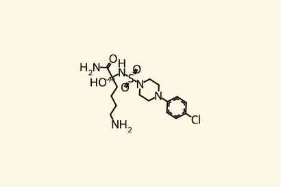 NCCCC[C@](O)(NS(=O)(=O)N1CCN(c2ccc(Cl)cc2)CC1)C(N)=O